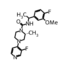 COc1cc(C(C)NC(=O)N2CCN(c3ccncc3F)C[C@H]2C)ccc1F